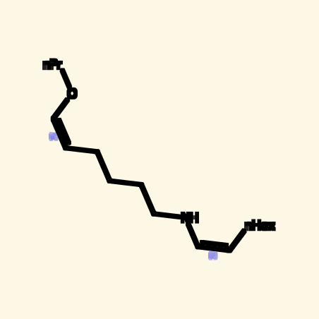 CCCCCC/C=C\NCCCC/C=C\OCCC